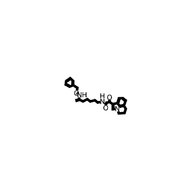 C=C(CCCCCNC(=O)C(=O)c1cn2c3c(cccc13)CCC2)NOCc1ccccc1